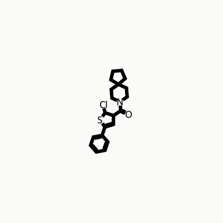 O=C(C1C=C(c2ccccc2)SC1Cl)N1CCC2(CCCC2)CC1